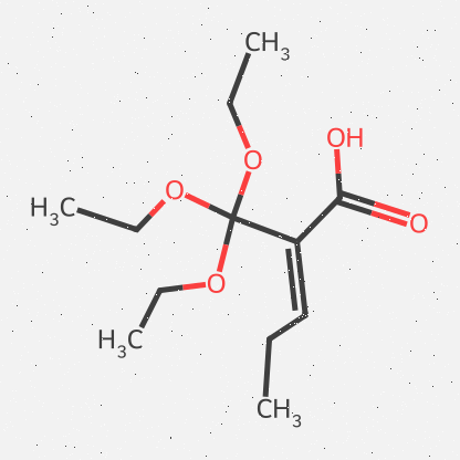 CCC=C(C(=O)O)C(OCC)(OCC)OCC